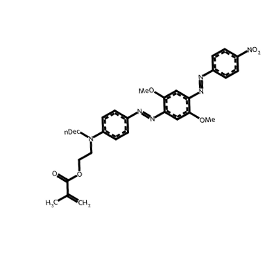 C=C(C)C(=O)OCCN(CCCCCCCCCC)c1ccc(N=Nc2cc(OC)c(/N=N/c3ccc([N+](=O)[O-])cc3)cc2OC)cc1